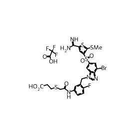 CSc1sc(C(=N)N)cc1S(=O)(=O)c1cc(Br)c2ncn(Cc3cc(NC(=O)CSCCC(=O)O)ccc3F)c2c1.O=C(O)C(F)(F)F